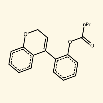 CCCC(=O)Oc1ccccc1C1=CCOc2ccccc21